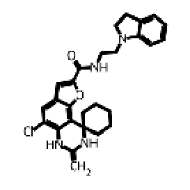 C=C1Nc2c(Cl)cc3cc(C(=O)NCCN4CCc5ccccc54)oc3c2C2(CCCCC2)N1